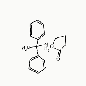 NC(N)(c1ccccc1)c1ccccc1.O=C1CCCO1